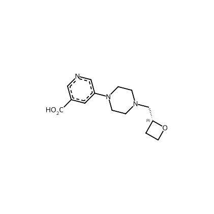 O=C(O)c1cncc(N2CCN(C[C@H]3CCO3)CC2)c1